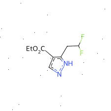 CCOC(=O)c1cn[nH]c1CC(F)F